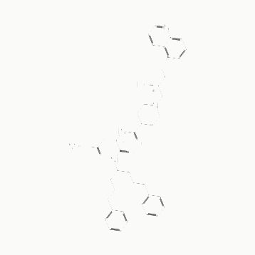 COC(=O)C[C@H](NC(=O)C1CCN(C[C@@H](O)COc2cccc3ncccc23)CC1)C(=O)NC(CCCc1ccccc1)CCCc1ccccc1